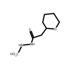 O=C(O)NNC(=S)CC1CCCCO1